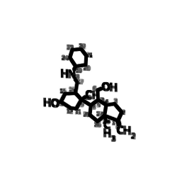 C=C1CCC2C(CO)C(C3(C)CCC(O)CC3CNC3CCCCC3)CCC12C